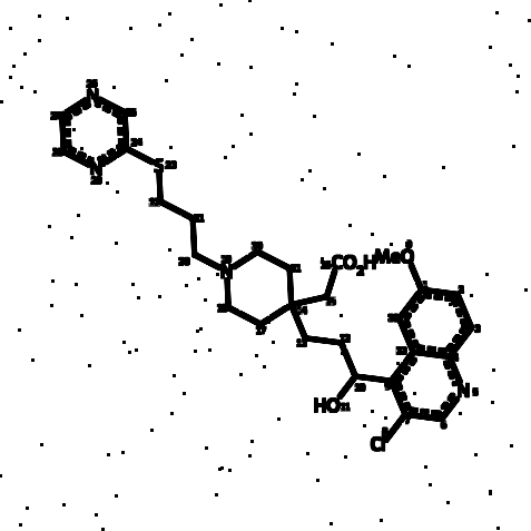 COc1ccc2ncc(Cl)c(C(O)CCC3(CC(=O)O)CCN(CCCSc4cnccn4)CC3)c2c1